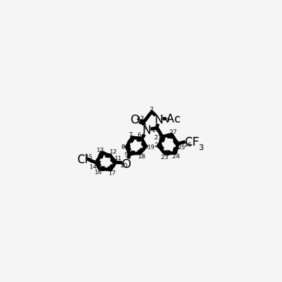 CC(=O)N1CC(=O)N(c2ccc(Oc3ccc(Cl)cc3)cc2)C1c1cccc(C(F)(F)F)c1